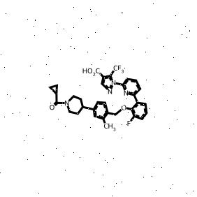 Cc1cc(C2CCN(C(=O)C3CC3)CC2)ccc1COc1c(F)cccc1-c1cccc(-n2ncc(C(=O)O)c2C(F)(F)F)n1